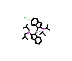 CC(C)CP(CC(C)C)C1=Cc2ccccc2[CH]1[Zr+2][CH]1C(P(C(C)C)C(C)C)=Cc2ccccc21.[Cl-].[Cl-]